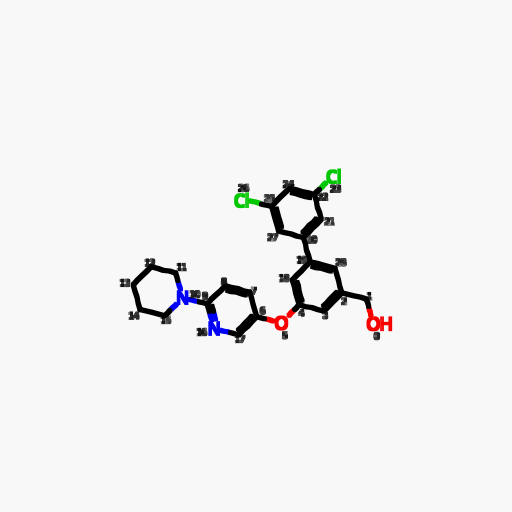 OCc1cc(Oc2ccc(N3CCCCC3)nc2)cc(-c2cc(Cl)cc(Cl)c2)c1